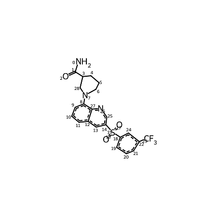 NC(=O)C1CCCN(c2cccc3cc(S(=O)(=O)c4cccc(C(F)(F)F)c4)cnc23)C1